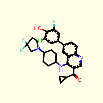 O=C(c1cnc2ccc(-c3cc(F)c(O)c(Cl)c3)cc2c1NC1CCC(N2CCC(F)(F)C2)CC1)C1CC1